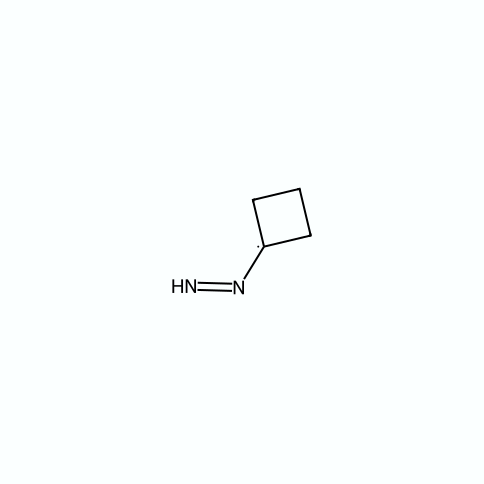 N=N[C]1CCC1